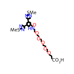 CSc1ncc(-c2cc(C(=O)NCCOCCOCCOCCOCCOCCCC(=O)O)cc(-c3cnc(SC)nc3)c2)cn1